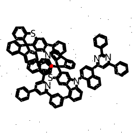 c1ccc(-c2cc(-c3cccc(-c4cccc5c4c4cc6c(cc4n5-c4ccc(-c5cc(-c7ccccc7)nc(-c7ccccc7)n5)c5ccccc45)C4(c5ccccc5S6)c5ccccc5-c5ccccc54)c3)nc(-c3ccc(-n4c5ccccc5c5cc6c(cc54)C4(c5ccccc5S6)c5ccccc5-c5ccccc54)c4ccccc34)c2)cc1